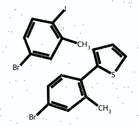 Cc1cc(Br)ccc1-c1cccs1.Cc1cc(Br)ccc1I